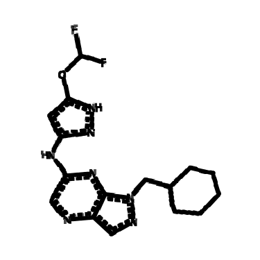 FC(F)Oc1cc(Nc2cnc3cnn(CC4CCCCC4)c3n2)n[nH]1